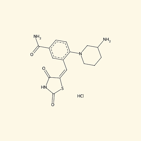 Cl.NC(=O)c1ccc(N2CCCC(N)C2)c(C=C2SC(=O)NC2=O)c1